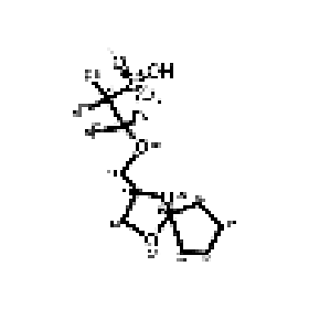 O=S(=O)(O)C(F)(F)C(F)(F)OCC1COC2(CCCC2)O1